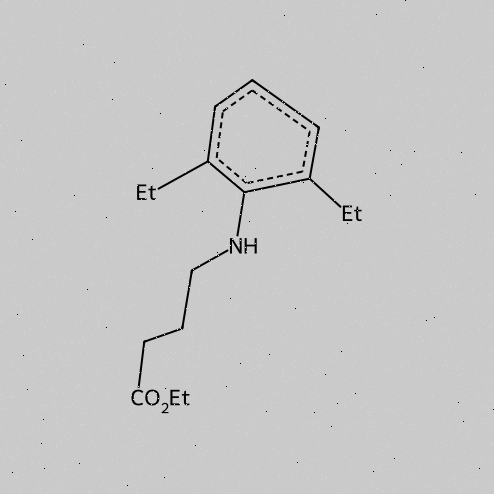 CCOC(=O)CCCNc1c(CC)cccc1CC